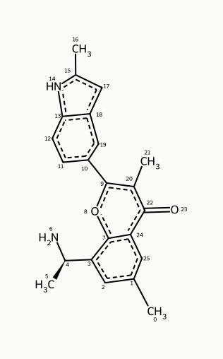 Cc1cc([C@@H](C)N)c2oc(-c3ccc4[nH]c(C)cc4c3)c(C)c(=O)c2c1